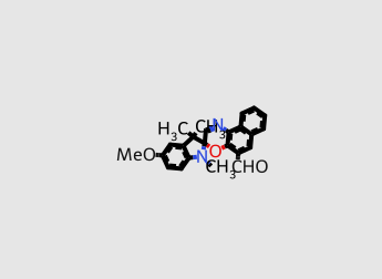 COc1ccc2c(c1)C(C)(C)C1(C=Nc3c(c(C=O)cc4ccccc34)O1)N2C